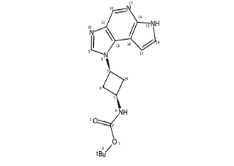 CC(C)(C)OC(=O)N[C@H]1C[C@@H](n2cnc3cnc4[nH]ccc4c32)C1